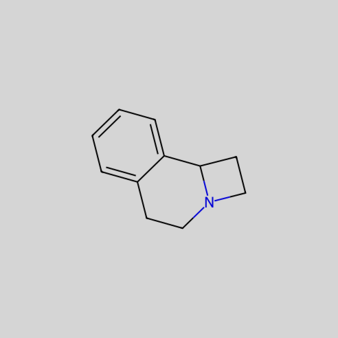 c1ccc2c(c1)CCN1CCC21